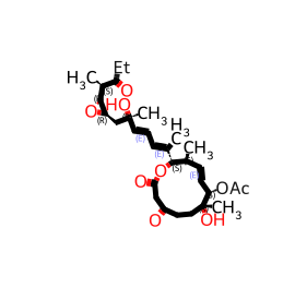 CCC(=O)[C@@H](C)[C@H]1O[C@@H]1C[C@@](C)(O)/C=C/C=C(\C)[C@H]1OC(=O)CC(=O)CC[C@@](C)(O)[C@@H](OC(C)=O)/C=C/[C@@H]1C